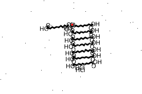 Cl.Cl.O=C(O)CCCCCCCCC(=O)O.O=C(O)CCCCCCCCC(=O)O.O=C(O)CCCCCCCCC(=O)O.O=C(O)CCCCCCCCC(=O)O.O=C(O)CCCCCCCCC(=O)O.O=C(O)CCCCCCCCC(=O)O.O=C(O)CCCCCCCCC(=O)O.O=C(O)CCCCCCCCC(=O)O